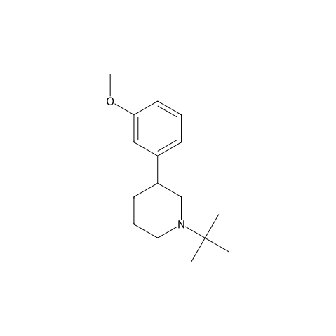 COc1cccc(C2CCCN(C(C)(C)C)C2)c1